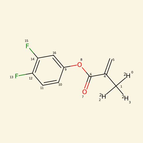 [2H]C([2H])([2H])C(=C)C(=O)Oc1ccc(F)c(F)c1